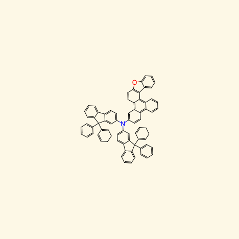 C1=CC(C2(c3ccccc3)c3ccccc3-c3ccc(N(c4ccc5c(c4)C(C4=CCCC=C4)(c4ccccc4)c4ccccc4-5)c4ccc5c6ccccc6c6c(ccc7oc8ccccc8c76)c5c4)cc32)=CCC1